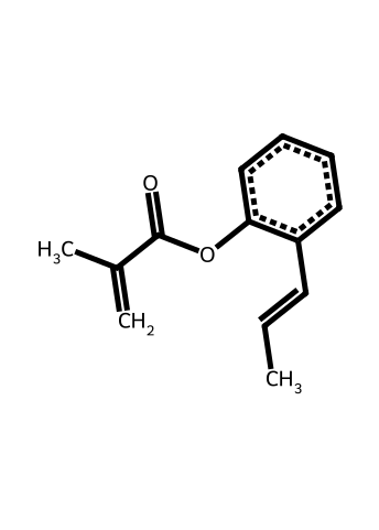 C=C(C)C(=O)Oc1ccccc1C=CC